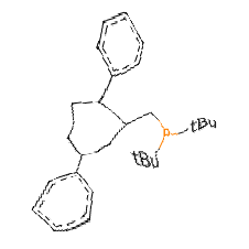 CC(C)(C)P(CC1CC(c2ccccc2)CCC1c1ccccc1)C(C)(C)C